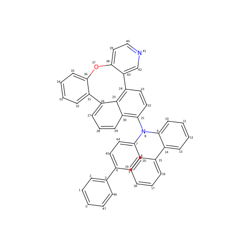 c1ccc(-c2ccc(N(c3ccccc3-c3ccccc3)c3ccc4c5c(cccc35)-c3ccccc3Oc3ccncc3-4)cc2)cc1